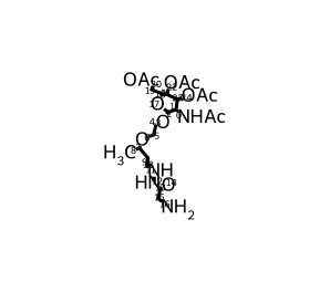 CC(=O)NC1C(OCCOC(C)CCNNC(=O)CN)OC(COC(C)=O)C(OC(C)=O)C1OC(C)=O